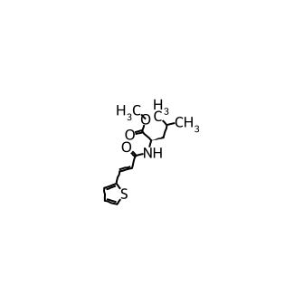 COC(=O)[C@@H](CC(C)C)NC(=O)/C=C/c1cccs1